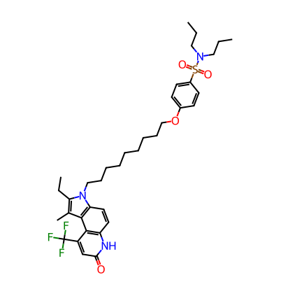 CCCN(CCC)S(=O)(=O)c1ccc(OCCCCCCCCCn2c(CC)c(C)c3c4c(C(F)(F)F)cc(=O)[nH]c4ccc32)cc1